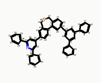 c1ccc(-c2cc(-c3ccccc3)cc(-c3ccc4c(c3)-c3ccc(-c5cc(-c6ccccc6)nc(-c6ccccc6)c5)cc3CSC4)c2)cc1